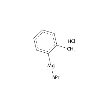 CC[CH2][Mg][c]1ccccc1C.Cl